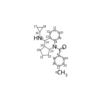 Cc1ccc(C(=O)N2c3ccccc3C(NC3CC3)C3CCCC32)cc1